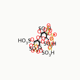 O=[SH](=O)OC[C@H]1O[C@@H](O[C@@H]([C@H](OS(=O)(=O)O)[C@H](COS(=O)(=O)O)O[SH](=O)=O)[C@@H](COS(=O)(=O)O)OS(=O)(=O)O)[C@H](OS(=O)(=O)O)[C@@H](O[SH](=O)=O)[C@H]1O[SH](=O)=O